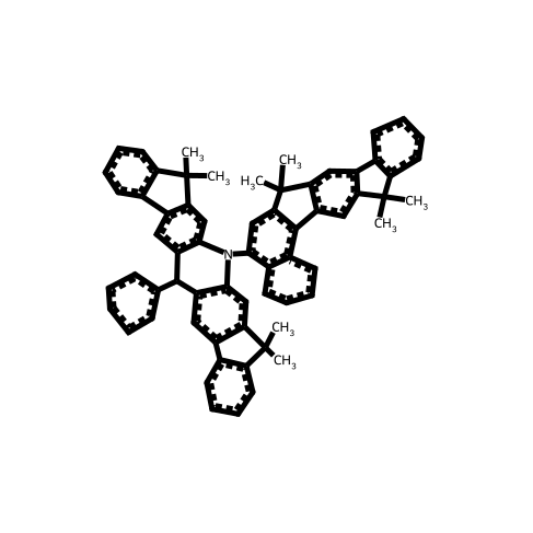 CC1(C)c2ccccc2-c2cc3c(cc21)-c1c(cc(N2c4cc5c(cc4C(c4ccccc4)c4cc6c(cc42)C(C)(C)c2ccccc2-6)-c2ccccc2C5(C)C)c2ccccc12)C3(C)C